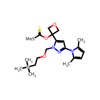 CSC(=S)OC1(c2cc(-n3c(C)ccc3C)nn2COCC[Si](C)(C)C)COC1